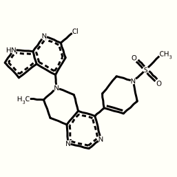 CC1Cc2ncnc(C3=CCN(S(C)(=O)=O)CC3)c2CN1c1cc(Cl)nc2[nH]ccc12